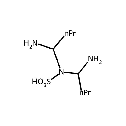 CCCC(N)N(C(N)CCC)S(=O)(=O)O